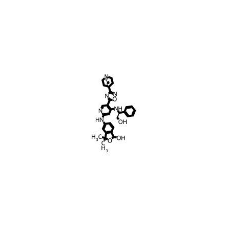 CC1(C)OC(O)c2ccc(Nc3cc(N[C@H](CO)c4ccccc4)c(-c4nc(C56CCN(CC5)CC6)no4)cn3)cc21